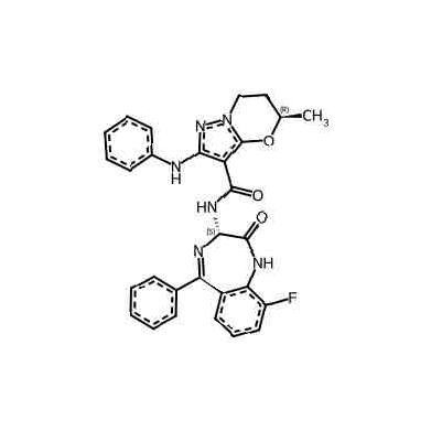 C[C@@H]1CCn2nc(Nc3ccccc3)c(C(=O)N[C@H]3N=C(c4ccccc4)c4cccc(F)c4NC3=O)c2O1